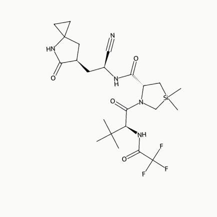 CC(C)(C)[C@H](NC(=O)C(F)(F)F)C(=O)N1C[Si](C)(C)C[C@H]1C(=O)N[C@H](C#N)C[C@@H]1CC2(CC2)NC1=O